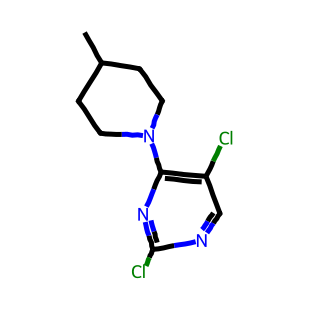 CC1CCN(c2nc(Cl)ncc2Cl)CC1